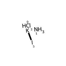 Cl.N.[K][I]